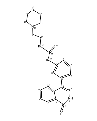 O=c1[nH]nc(-c2cccc(NC(=S)NCCN3CCOCC3)c2)c2ccccc12